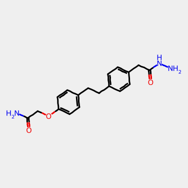 NNC(=O)Cc1ccc(CCc2ccc(OCC(N)=O)cc2)cc1